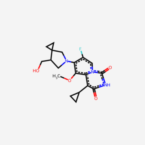 COc1c(N2CC(CO)C3(CC3)C2)c(F)cn2c(=O)[nH]c(=O)c(C3CC3)c12